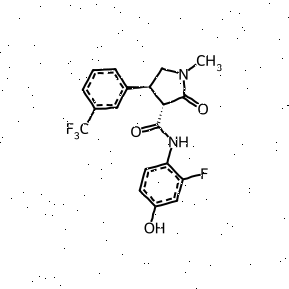 CN1C[C@H](c2cccc(C(F)(F)F)c2)[C@@H](C(=O)Nc2ccc(O)cc2F)C1=O